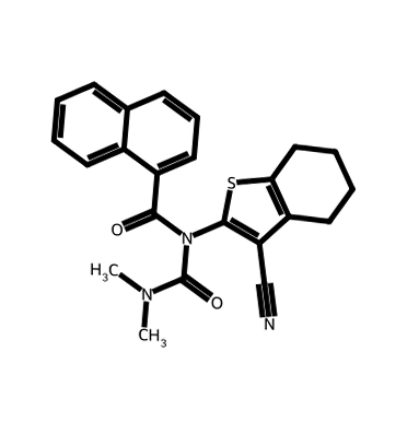 CN(C)C(=O)N(C(=O)c1cccc2ccccc12)c1sc2c(c1C#N)CCCC2